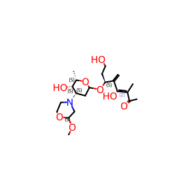 C=C(/C(O)=C(\C)C(C)=O)[C@H](CCO)OC1C[C@H](N2CCO[C@H](OC)C2)[C@H](O)[C@H](C)O1